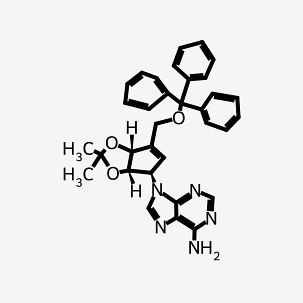 CC1(C)O[C@@H]2[C@H](O1)C(COC(c1ccccc1)(c1ccccc1)c1ccccc1)=C[C@H]2n1cnc2c(N)ncnc21